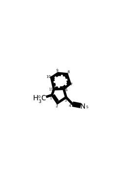 CC1=CC(C#N)c2ccccc21